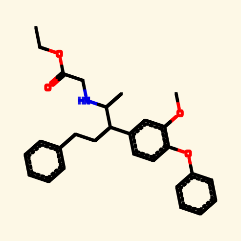 CCOC(=O)CNC(C)C(CCc1ccccc1)c1ccc(Oc2ccccc2)c(OC)c1